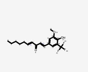 CCCCC/C=C/C(=O)/C=C/c1cc(OC)c(O)c(C(F)(F)F)c1